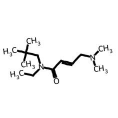 CCN(CC(C)(C)C)C(=O)/C=C/CN(C)C